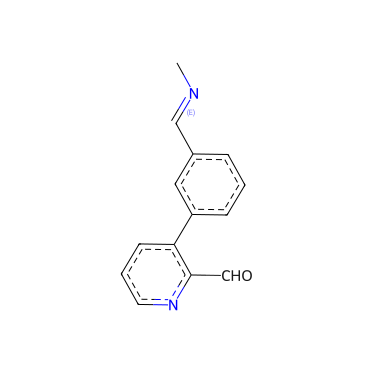 C/N=C/c1cccc(-c2cccnc2C=O)c1